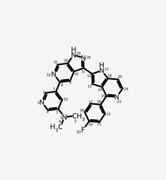 CN(C)c1cncc(-c2cc3c(-c4cc5c(-c6ccc(F)cc6)nccc5[nH]4)n[nH]c3cn2)c1